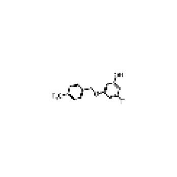 Oc1cc(F)cc(OCc2ccc(C(F)(F)F)cc2)c1